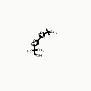 CC(I)(I)c1nnc(-c2cc(C(C)(C)CO)no2)o1